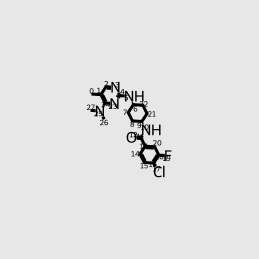 Cc1cnc(N[C@H]2CC[C@@H](NC(=O)c3ccc(Cl)c(F)c3)CC2)nc1N(C)C